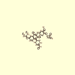 CNC(=O)COc1ccc(Cn2c(=O)c3cc(OC(CF)CF)ccc3n(C3CCN(C=O)CC3)c2=O)cc1OC